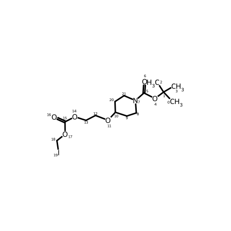 CC(C)(C)OC(=O)N1CCC(OCCOC(=O)OCI)CC1